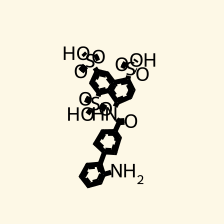 Nc1ccccc1-c1ccc(C(=O)Nc2ccc(S(=O)(=O)O)c3cc(S(=O)(=O)O)cc(S(=O)(=O)O)c23)cc1